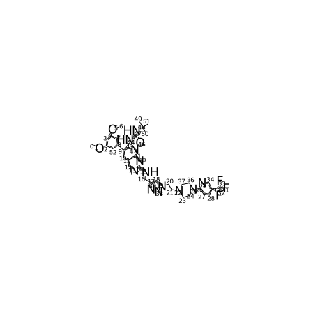 COc1cc(OC)cc(-c2cc3cnc(NCc4cn(CCN5CCN(c6ccc(C(F)(F)F)cn6)CC5)nn4)nc3nc2NC(=O)NC(C)(C)C)c1